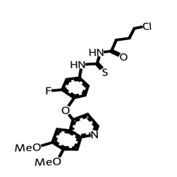 COc1cc2nccc(Oc3ccc(NC(=S)NC(=O)CCCCl)cc3F)c2cc1OC